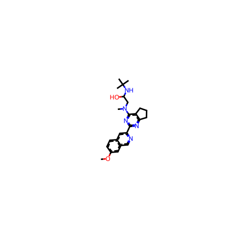 COc1ccc2cc(-c3nc4c(c(N(C)CC(O)NC(C)(C)C)n3)CCC4)ncc2c1